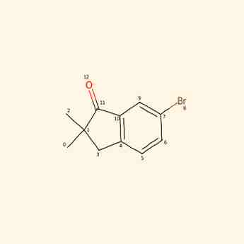 CC1(C)Cc2ccc(Br)cc2C1=O